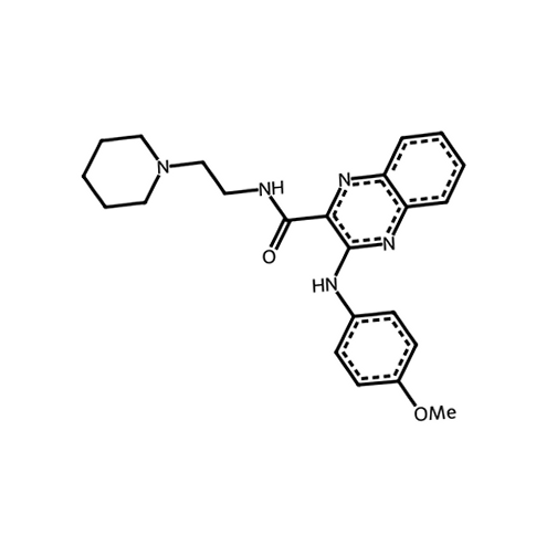 COc1ccc(Nc2nc3ccccc3nc2C(=O)NCCN2CCCCC2)cc1